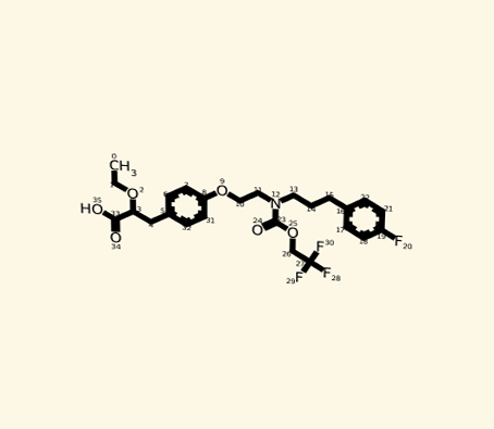 CCOC(Cc1ccc(OCCN(CCCc2ccc(F)cc2)C(=O)OCC(F)(F)F)cc1)C(=O)O